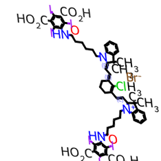 CC1(C)C(/C=C/C2=C(Cl)C(=C/C=C3/N(CCCCCC(=O)Nc4c(I)c(C(=O)O)c(I)c(C(=O)O)c4I)c4ccccc4C3(C)C)/CCC2)=[N+](CCCCCC(=O)Nc2c(I)c(C(=O)O)c(I)c(C(=O)O)c2I)c2ccccc21.[Br-]